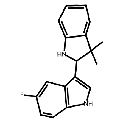 CC1(C)c2ccccc2NC1c1c[nH]c2ccc(F)cc12